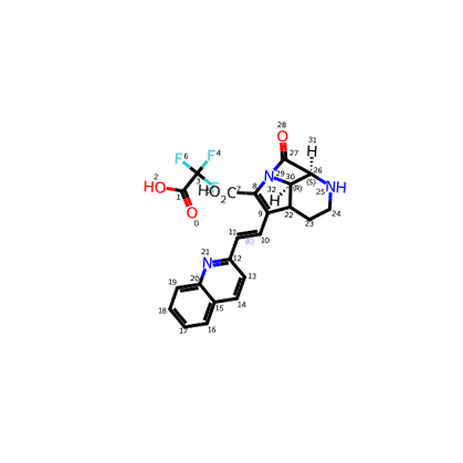 O=C(O)C(F)(F)F.O=C(O)C1=C(/C=C/c2ccc3ccccc3n2)C2CCN[C@@H]3C(=O)N1[C@H]23